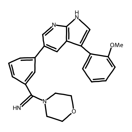 COc1ccccc1-c1c[nH]c2ncc(-c3cccc(C(=N)N4CCOCC4)c3)cc12